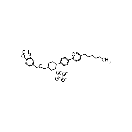 CCCCCCc1ccc(-c2ccc([C@H]3CC[C@H](COCc4ccc(OC)cc4)CC3)cc2)[o+]c1.[O-][Cl+3]([O-])([O-])[O-]